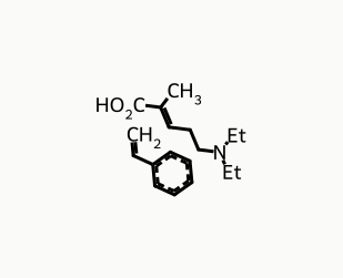 C=Cc1ccccc1.CCN(CC)CCC=C(C)C(=O)O